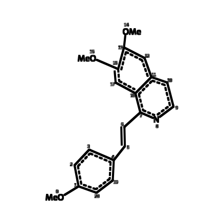 COc1ccc(C=Cc2nccc3cc(OC)c(OC)cc23)cc1